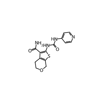 NC(=O)c1c(NC(=O)Nc2ccncc2)sc2c1CCOC2